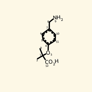 CC(C)(Oc1ccc(CN)cc1)C(=O)O